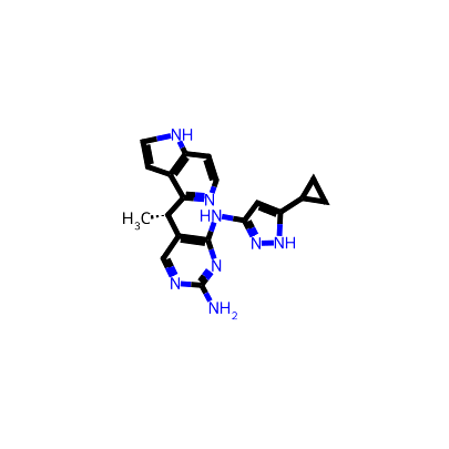 C[C@@H](c1cnc(N)nc1Nc1cc(C2CC2)[nH]n1)c1nccc2[nH]ccc12